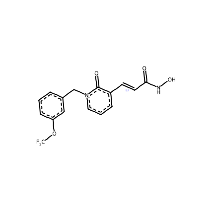 O=C(/C=C/c1cccn(Cc2cccc(OC(F)(F)F)c2)c1=O)NO